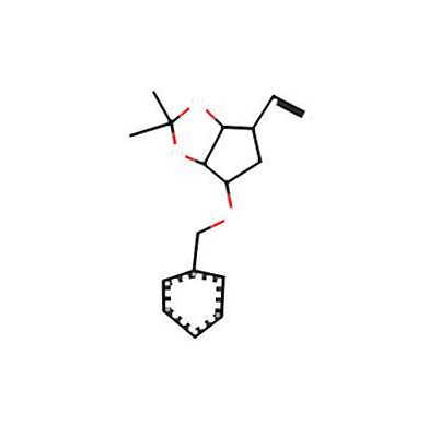 C=CC1CC(OCc2ccccc2)C2OC(C)(C)OC12